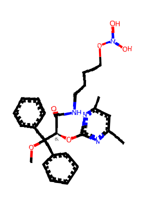 COC(c1ccccc1)(c1ccccc1)[C@H](Oc1nc(C)cc(C)n1)C(=O)NCCCCON(O)O